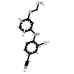 CCOc1cc(Nc2ccc(C#N)cc2Cl)ncn1